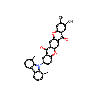 Cc1cccc2c3cccc(C)c3n(-c3ccc4oc5cc6c(=O)c7cc(C#N)c(C#N)cc7oc6cc5c(=O)c4c3)c12